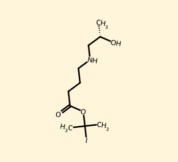 C[C@H](O)CNCCCC(=O)OC(C)(C)I